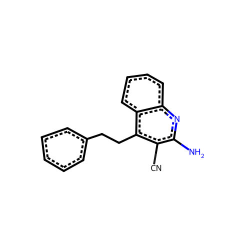 N#Cc1c(N)nc2ccccc2c1CCc1ccccc1